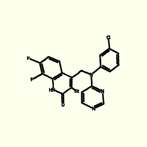 CCc1c(CN(c2cccc(Cl)c2)c2ccncn2)c2ccc(F)c(F)c2[nH]c1=O